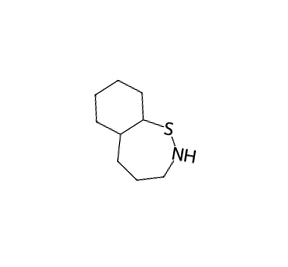 C1CCC2SNCCCC2C1